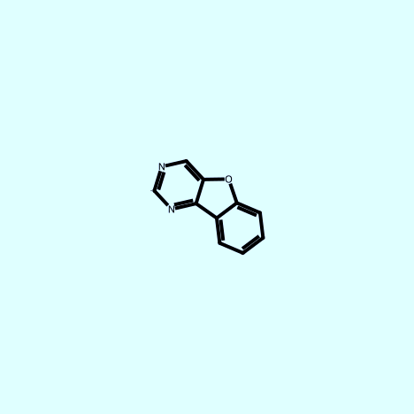 [c]1ncc2oc3ccccc3c2n1